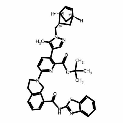 Cc1c(-c2ccc(N3CCc4cccc(C(=O)Nc5nc6ccccc6s5)c4C3)nc2C(=O)OC(C)(C)C)cnn1C[C@@H]1C[C@H]2C=C[C@H]1C2